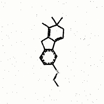 CCSc1ccc2c(c1)C1=CCC(C)(C)C(C)=C1C2